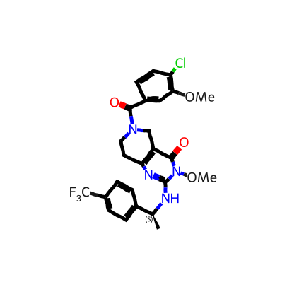 COc1cc(C(=O)N2CCc3nc(N[C@@H](C)c4ccc(C(F)(F)F)cc4)n(OC)c(=O)c3C2)ccc1Cl